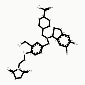 CCc1cc(CN(CC2CCC(C(=O)O)CC2)C2CCc3cc(F)c(Cl)cc32)ccc1OCCN1C(=O)CCC1=O